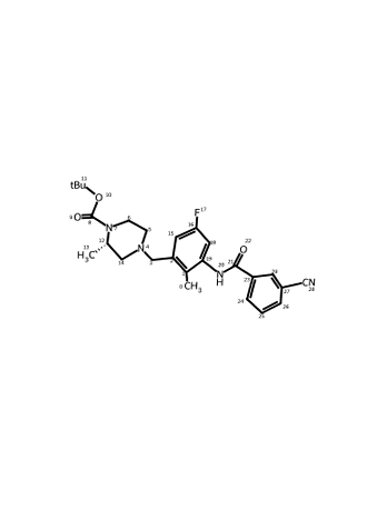 Cc1c(CN2CCN(C(=O)OC(C)(C)C)[C@@H](C)C2)cc(F)cc1NC(=O)c1cccc(C#N)c1